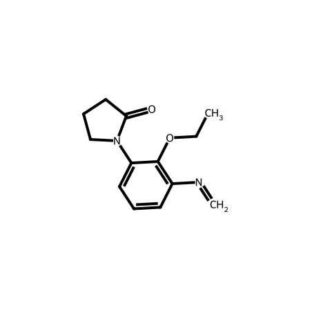 C=Nc1cccc(N2CCCC2=O)c1OCC